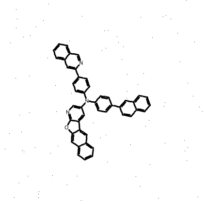 c1ccc2cc(-c3ccc(N(c4ccc(-c5cc6ccccc6cn5)cc4)c4cnc5oc6cc7ccccc7cc6c5c4)cc3)ccc2c1